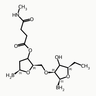 B[C@@H]1O[C@H](CC)C(O)[C@@H]1OC[C@H]1O[C@@H](B)CC1OC(=O)CCC(=O)NC